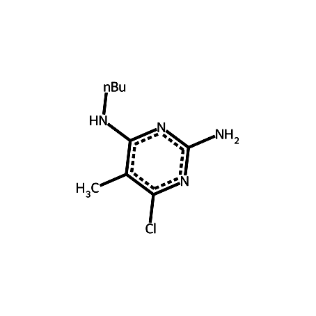 CCCCNc1nc(N)nc(Cl)c1C